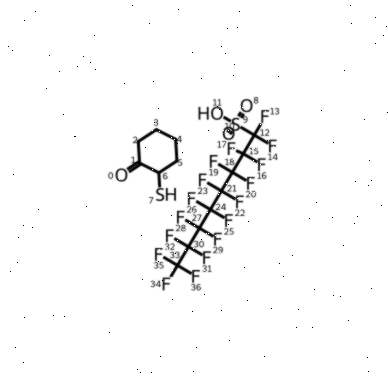 O=C1CCCCC1S.O=S(=O)(O)C(F)(F)C(F)(F)C(F)(F)C(F)(F)C(F)(F)C(F)(F)C(F)(F)C(F)(F)F